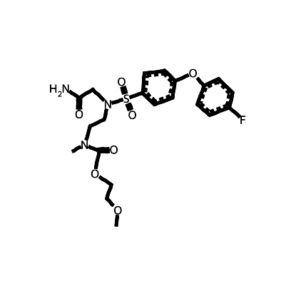 COCCOC(=O)N(C)CCN(CC(N)=O)S(=O)(=O)c1ccc(Oc2ccc(F)cc2)cc1